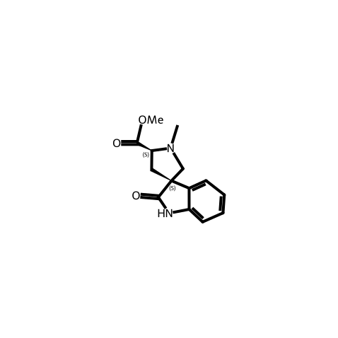 COC(=O)[C@@H]1C[C@]2(CN1C)C(=O)Nc1ccccc12